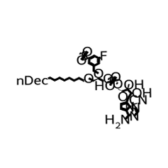 CCCCCCCCCCCCCCCCCCOC[C@H](COP(=O)(O)OC[C@H]1O[C@@](C#N)(c2ccc3c(N)ncnn23)[C@H](O)[C@@H]1O)OCc1cc(F)cc(S(C)(=O)=O)c1